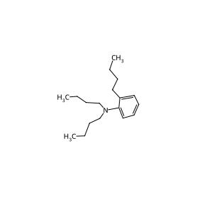 CCCCc1ccccc1N(CCCC)CCCC